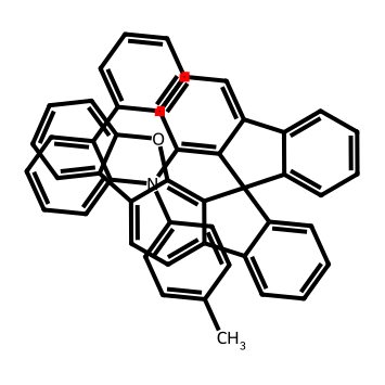 Cc1ccc(N(c2ccccc2-c2ccccc2)c2cccc3c2C2(c4ccccc4-3)c3ccccc3-c3ccc4c(oc5ccccc54)c32)cc1